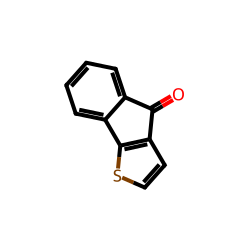 O=C1c2ccccc2-c2sccc21